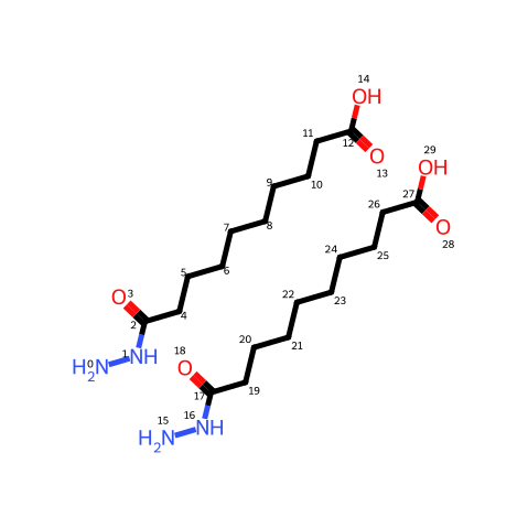 NNC(=O)CCCCCCCCC(=O)O.NNC(=O)CCCCCCCCC(=O)O